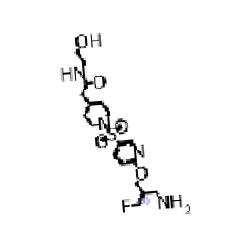 NC/C(=C/F)COc1ccc(S(=O)(=O)N2CCC(CC(=O)NCCO)CC2)cn1